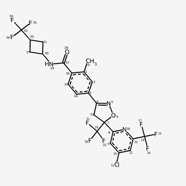 Cc1cc(C2=NOC(c3cc(Cl)cc(C(F)(F)F)n3)(C(F)(F)F)C2)ccc1C(=O)NC1CC(C(F)(F)F)C1